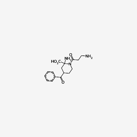 NCCC(=O)N1CCC(C(=O)c2ccccc2)CC1(N)C(=O)O